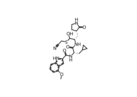 COc1cccc2[nH]c(C(=O)N[C@@H](CC3CC3)C(=O)N[C@@H](C[C@@H]3CCNC3=O)C(O)SCC#N)cc12